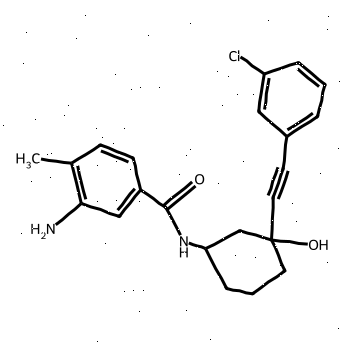 Cc1ccc(C(=O)NC2CCCC(O)(C#Cc3cccc(Cl)c3)C2)cc1N